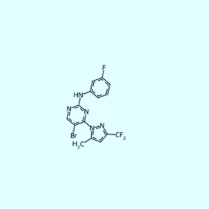 Cc1cc(C(F)(F)F)nn1-c1nc(Nc2cccc(F)c2)ncc1Br